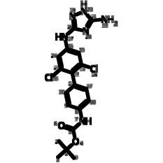 CC(C)(C)OC(=O)Nc1ccc(-c2c(Cl)cc(Nc3n[nH]c(N)n3)cc2Cl)cc1